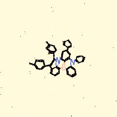 Cc1ccc(-c2c(-c3ccc(C)cc3)n3c4c(cccc24)B2c4ccccc4N(c4ccccc4)c4cc(-c5ccccc5)cc-3c42)cc1